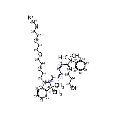 CC1(C)C(\C=C/C=C\C=C2\N(CCOCCOCCOCCN=[N+]=[N-])c3ccccc3C2(C)C)=[N+](CCCO)c2ccccc21